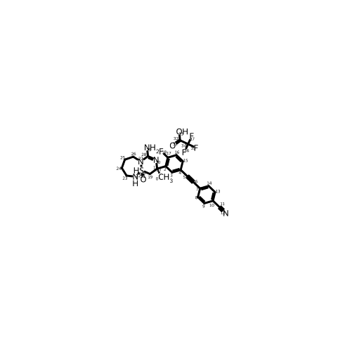 C[C@@]1(c2cc(C#Cc3ccc(C#N)cc3)ccc2F)C[SH]2(=O)NCCCCN2C(N)=N1.O=C(O)C(F)(F)F